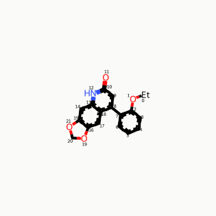 CCOc1ccccc1-c1cc(=O)[nH]c2cc3c(cc12)OCO3